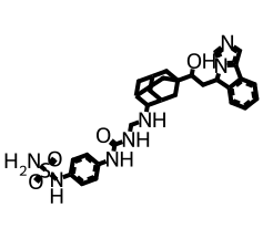 NS(=O)(=O)Nc1ccc(NC(=O)NCNC2C3CC4CC2CC(C(O)CC2c5ccccc5-c5cncn52)(C4)C3)cc1